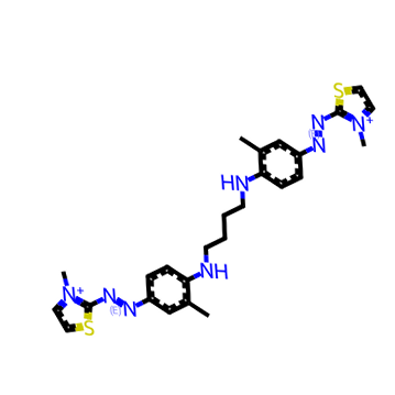 Cc1cc(/N=N/c2scc[n+]2C)ccc1NCCCCNc1ccc(/N=N/c2scc[n+]2C)cc1C